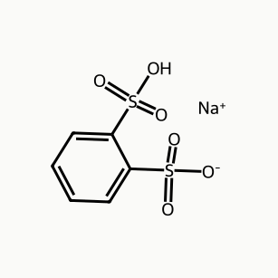 O=S(=O)([O-])c1ccccc1S(=O)(=O)O.[Na+]